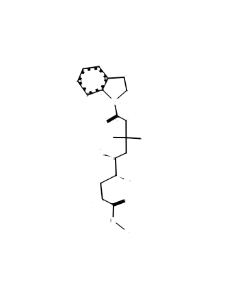 CCCCNC(=O)[C@H](C)C[C@H](O)[C@@H](N)CC(C)(C)CC(=O)N1CCc2ccccc21